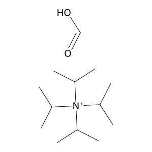 CC(C)[N+](C(C)C)(C(C)C)C(C)C.O=CO